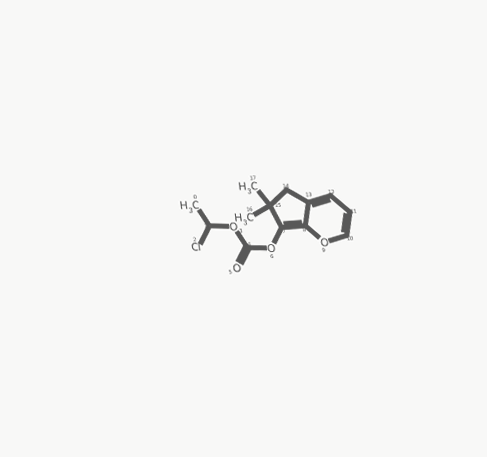 CC(Cl)OC(=O)OC1=C2OC=CC=C2CC1(C)C